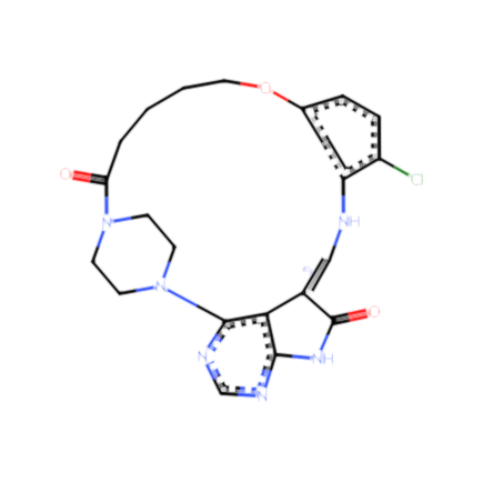 O=C1Nc2ncnc3c2/C1=C\Nc1cc(ccc1Cl)OCCCCC(=O)N1CCN3CC1